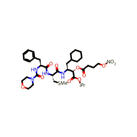 CSC[C@H](NC(=O)[C@H](Cc1ccccc1)NC(=O)N1CCOCC1)C(=O)N[C@@H](CC1CCCCC1)[C@H](OC(=O)CCCO[N+](=O)[O-])C(=O)OC(C)C